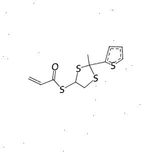 C=CC(=O)SC1CSC(C)(c2cccs2)S1